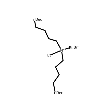 CCCCCCCCCCCCCC[N+](CC)(CC)CCCCCCCCCCCCCC.[Br-]